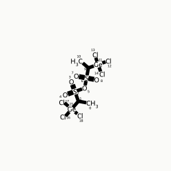 C[CH](S(=O)(=O)OS(=O)(=O)[CH](C)[Ge]([Cl])([Cl])[Cl])[Ge]([Cl])([Cl])[Cl]